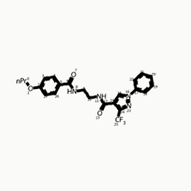 CCCOc1ccc(C(=O)NCCNC(=O)c2cn(-c3ccccc3)nc2C(F)(F)F)cc1